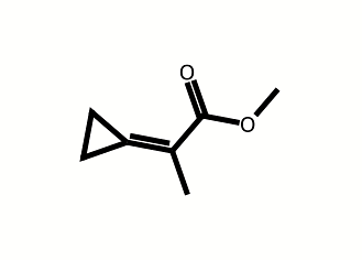 COC(=O)C(C)=C1CC1